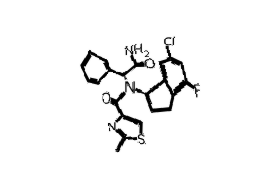 Cc1nc(C(=O)N([C@@H]2CCc3c(F)cc(Cl)cc32)[C@@H](C(N)=O)c2ccccc2)cs1